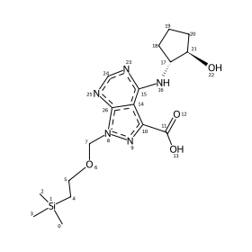 C[Si](C)(C)CCOCn1nc(C(=O)O)c2c(N[C@@H]3CCC[C@H]3O)ncnc21